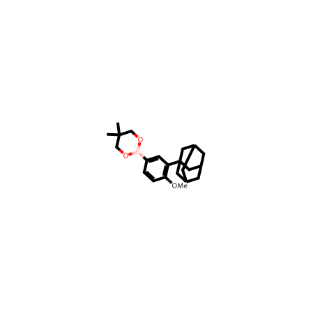 COc1ccc(B2OCC(C)(C)CO2)cc1C12CC3CC(CC(C3)C1)C2